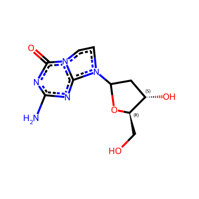 Nc1nc(=O)n2ccn(C3C[C@H](O)[C@@H](CO)O3)c2n1